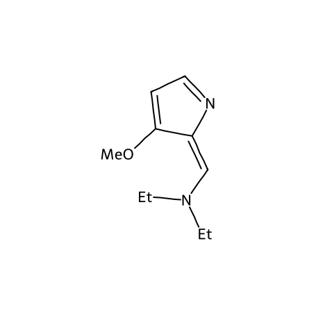 CCN(/C=C1/N=CC=C1OC)CC